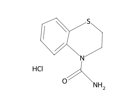 Cl.NC(=O)N1CCSc2ccccc21